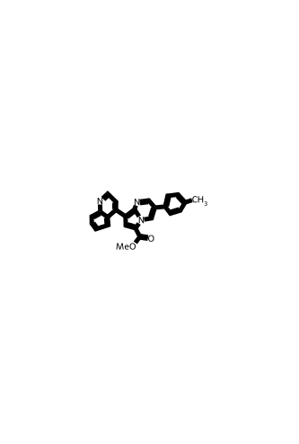 COC(=O)c1cc(-c2ccnc3ccccc23)c2ncc(-c3ccc(C)cc3)cn12